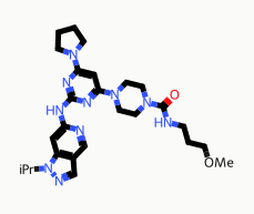 COCCCNC(=O)N1CCN(c2cc(N3CCCC3)nc(Nc3cc4c(cn3)cnn4C(C)C)n2)CC1